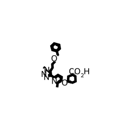 Cc1nc(-c2nnn(C)c2CCCOCc2ccccc2)ccc1O[C@H]1CCC[C@H](C(=O)O)C1